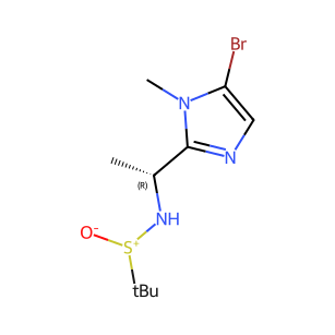 C[C@@H](N[S+]([O-])C(C)(C)C)c1ncc(Br)n1C